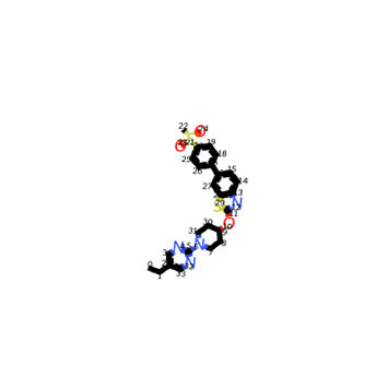 CCc1cnc(N2CCC(Oc3nc4ccc(-c5ccc(S(C)(=O)=O)cc5)cc4s3)CC2)nc1